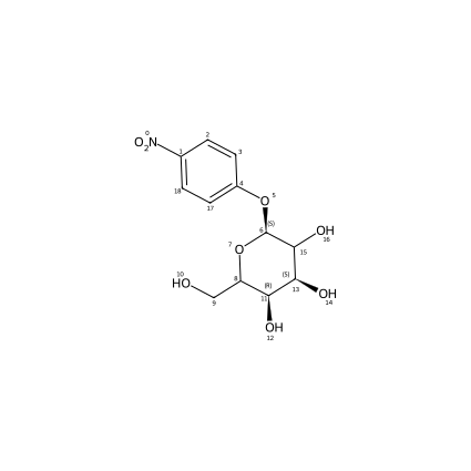 O=[N+]([O-])c1ccc(O[C@@H]2OC(CO)[C@H](O)[C@H](O)C2O)cc1